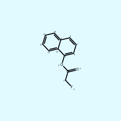 O=C(CF)Oc1cccc2ccccc12